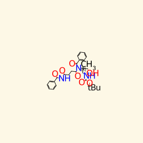 CC(C)(C)OC(=O)NC[C@](C)(CO)N(C(=O)CCC(=O)NC(=O)c1ccccc1)C(=O)c1ccccc1